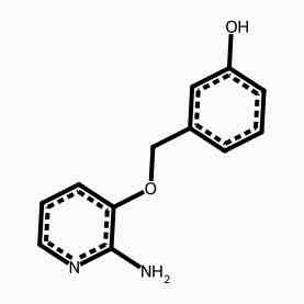 Nc1ncccc1OCc1cccc(O)c1